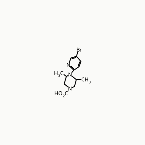 CC1CN(C(=O)O)CC(C)N1c1ccc(Br)cn1